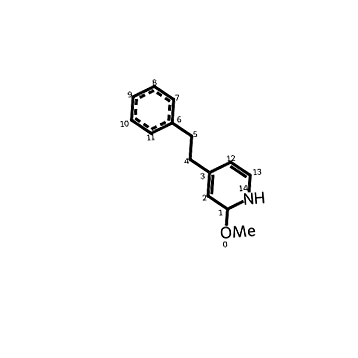 COC1C=C(CCc2ccccc2)C=CN1